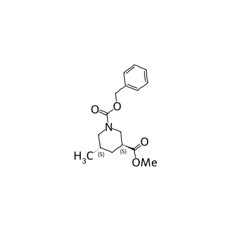 COC(=O)[C@H]1C[C@H](C)CN(C(=O)OCc2ccccc2)C1